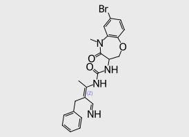 C/C(NC(=O)NC1COc2ccc(Br)cc2N(C)C1=O)=C(/C=N)Cc1ccccc1